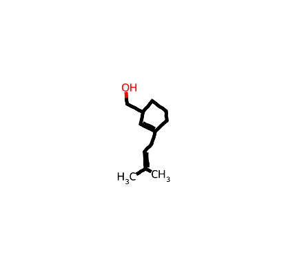 CC(C)=CCC1=CC(CO)CCC1